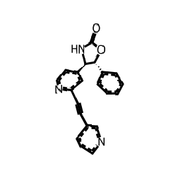 O=C1N[C@H](c2ccnc(C#Cc3cccnc3)c2)[C@@H](c2ccccc2)O1